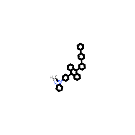 Cc1nc2ccccc2n1-c1ccc(-c2c3ccccc3c(-c3cccc(-c4ccc(-c5ccccc5)cc4)c3)c3ccccc23)cc1